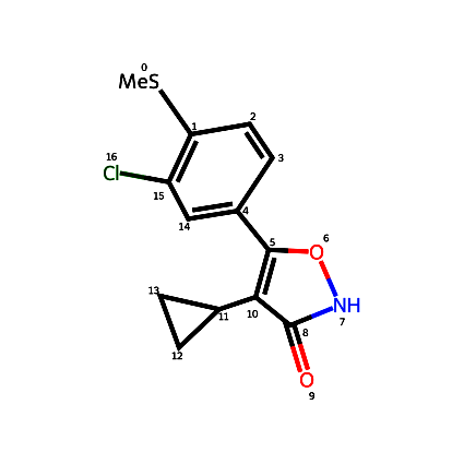 CSc1ccc(-c2o[nH]c(=O)c2C2CC2)cc1Cl